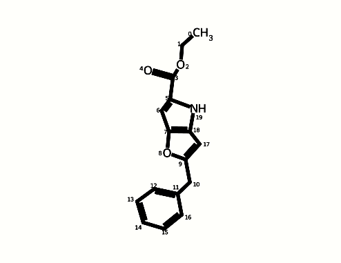 CCOC(=O)c1cc2oc(Cc3ccccc3)cc2[nH]1